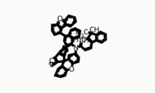 C=C(/C=C\C1=C(C)C(C)(C)c2ccccc21)N(c1ccc2c(c1)C1(c3ccccc3O2)c2ccccc2-c2ccccc21)c1ccc(-c2cccc3oc4ccccc4c23)c2ccccc12